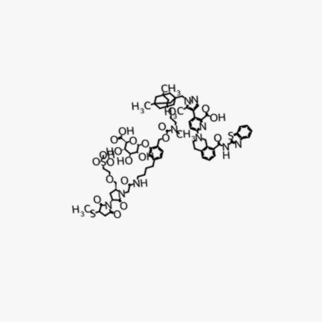 CSC1CC(=O)N([C@H]2C[C@@H](COCCS(=O)(=O)O)N(CC(=O)NCCCCc3ccc(COC(=O)N(C)CCOC45CC6(C)CC(C)(CC(Cn7ncc(-c8ccc(N9CCc%10cccc(C(=O)Nc%11nc%12ccccc%12s%11)c%10C9)nc8C(=O)O)c7C)(C6)C4)C5)c(O[C@@H]4O[C@H](C(=O)O)[C@@H](O)[C@H](O)[C@H]4O)c3)C2=O)C1=O